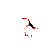 CCOC(=O)OC(=O)O